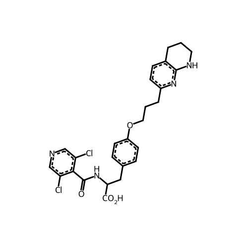 O=C(NC(Cc1ccc(OCCCc2ccc3c(n2)NCCC3)cc1)C(=O)O)c1c(Cl)cncc1Cl